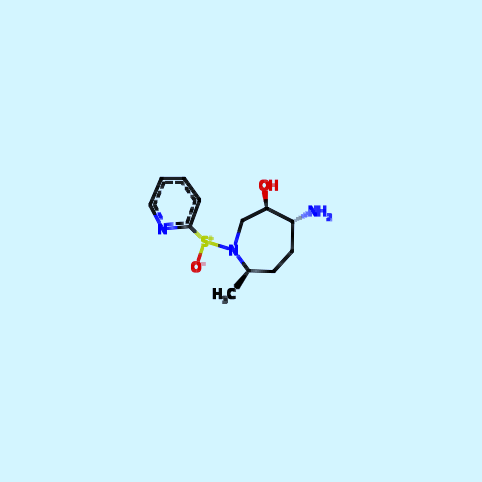 C[C@@H]1CC[C@@H](N)[C@H](O)CN1[S+]([O-])c1ccccn1